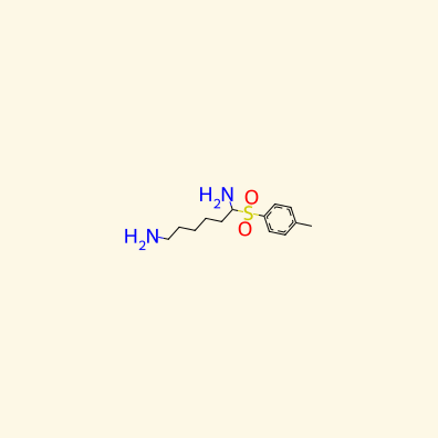 Cc1ccc(S(=O)(=O)C(N)CCCCCN)cc1